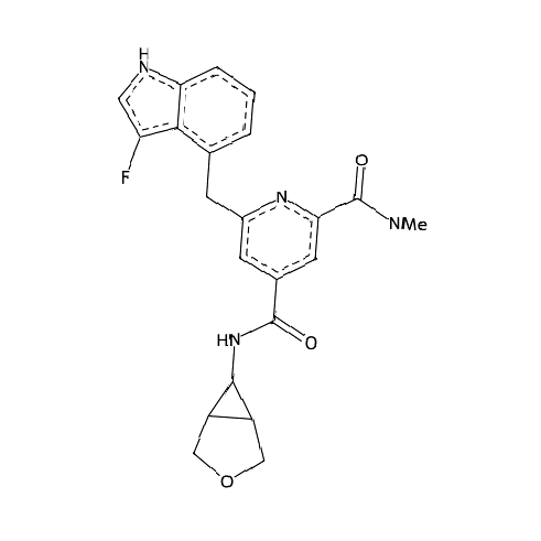 CNC(=O)c1cc(C(=O)NC2C3COCC32)cc(Cc2cccc3[nH]cc(F)c23)n1